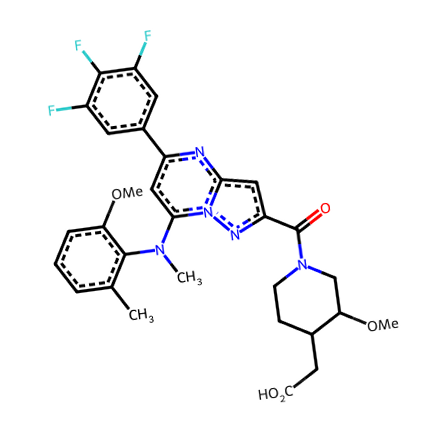 COc1cccc(C)c1N(C)c1cc(-c2cc(F)c(F)c(F)c2)nc2cc(C(=O)N3CCC(CC(=O)O)C(OC)C3)nn12